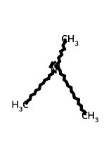 CCCCCCCCCCCCCCCCc1n(CCCCCCCC)cc[n+]1CCCCCCCCCCCCC